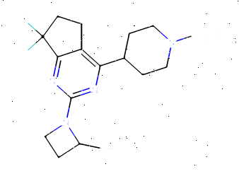 CC1CCN1c1nc(C2CCN(C(=O)O)CC2)c2c(n1)C(F)(F)CC2